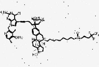 COc1c(C)cnc(Cn2cc(C#CCCC(CN(C)C(=O)O)(c3ccc4c(c3)C[C@@H](CCCCCCCCC[S+]([O-])CCCC(F)(F)C(F)(F)F)[C@@H]3[C@@H]4CC[C@]4(C)[C@@H](O)CC[C@@H]34)N(C)C(=O)O)c3c(Cl)nc(N)nc32)c1C